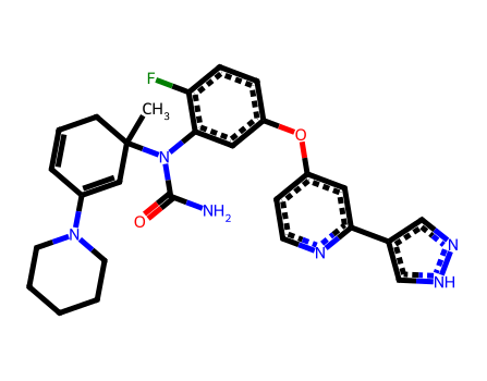 CC1(N(C(N)=O)c2cc(Oc3ccnc(-c4cn[nH]c4)c3)ccc2F)C=C(N2CCCCC2)C=CC1